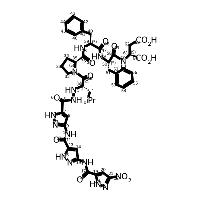 CC(C)C[C@H](NNC(=O)c1cc(NC(=O)c2cc(NC(=O)c3cc([N+](=O)[O-])n[nH]3)n[nH]2)n[nH]1)C(=O)N1CCC[C@H]1C(=O)N[C@@H](Cc1ccccc1)C(=O)N[C@@H](Cc1ccccc1)C(=O)N[C@@H](CC(=O)O)C(=O)O